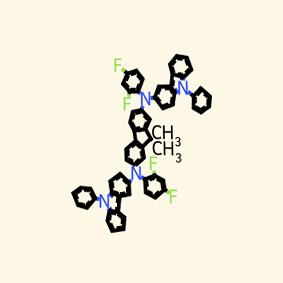 CC1(C)c2cc(N(c3ccc4c(c3)c3ccccc3n4-c3ccccc3)c3ccc(F)cc3F)ccc2-c2ccc(N(c3ccc4c(c3)c3ccccc3n4-c3ccccc3)c3ccc(F)cc3F)cc21